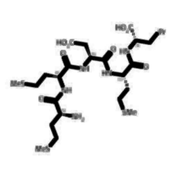 CSCC[C@H](NC(=O)[C@H](CC(=O)O)NC(=O)[C@H](CCSC)NC(=O)[C@@H](N)CCSC)C(=O)N[C@@H](CC(C)C)C(=O)O